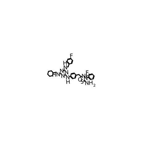 NC(=S)N(NC(=O)Cc1ccc(Nc2nc(NCc3ccc(F)cc3)nc(NCC3CCCCC3)n2)cc1)c1ccccc1F